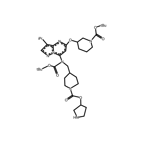 CC(C)c1cnn2c(N(CC3CCN(C(=O)OC4CCNC4)CC3)C(=O)OC(C)(C)C)cc(OC3CCCN(C(=O)OC(C)(C)C)C3)nc12